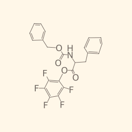 O=C(NC(Cc1ccccc1)C(=O)Oc1c(F)c(F)c(F)c(F)c1F)OCc1ccccc1